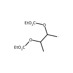 [CH2]C(OC(=O)OCC)C(C)OC(=O)OCC